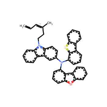 C=C/C=C(/C)CCn1c2ccccc2c2cc(N(c3cccc4c3sc3ccccc34)c3cccc4oc5ccccc5c34)ccc21